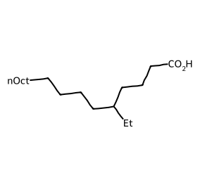 CCCCCCCCCCCCC(CC)CCCC(=O)O